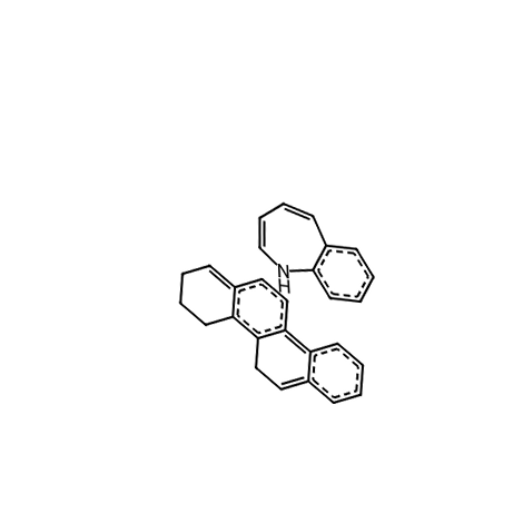 C1=CNc2ccccc2C=C1.C1=c2ccc3c(c2CCC1)CC=c1ccccc1=3